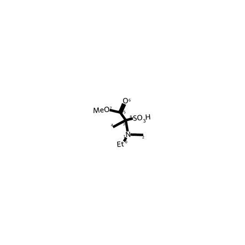 CCN(C)C(C)(C(=O)OC)S(=O)(=O)O